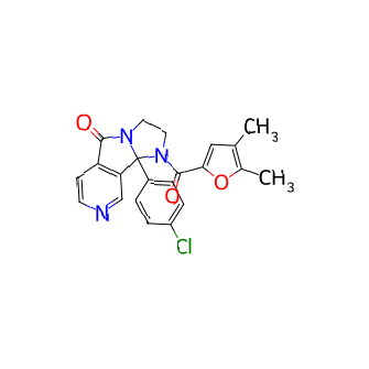 Cc1cc(C(=O)N2CCN3C(=O)c4ccncc4C23c2ccc(Cl)cc2)oc1C